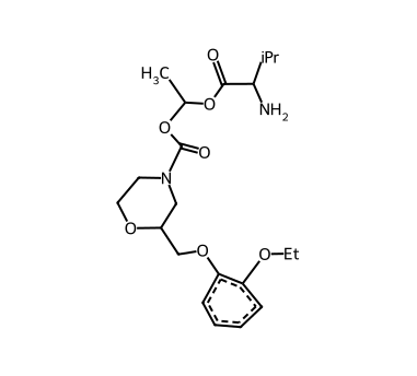 CCOc1ccccc1OCC1CN(C(=O)OC(C)OC(=O)C(N)C(C)C)CCO1